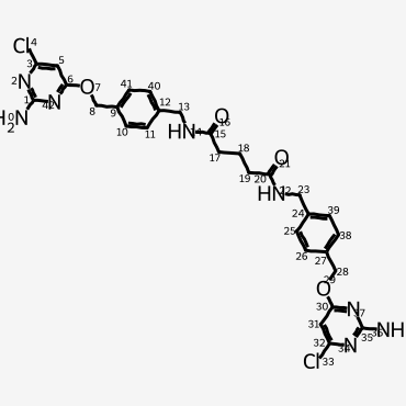 Nc1nc(Cl)cc(OCc2ccc(CNC(=O)CCCC(=O)NCc3ccc(COc4cc(Cl)nc(N)n4)cc3)cc2)n1